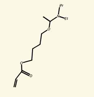 C=CC(=O)OCCCCOC(C)N(CC)C(C)C